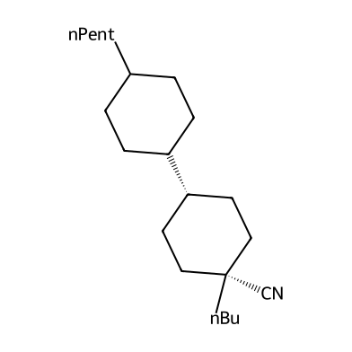 CCCCCC1CCC([C@H]2CC[C@](C#N)(CCCC)CC2)CC1